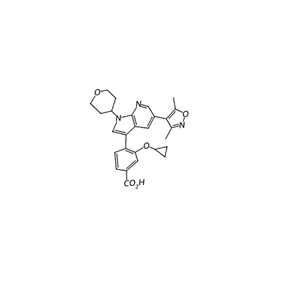 Cc1noc(C)c1-c1cnc2c(c1)c(-c1ccc(C(=O)O)cc1OC1CC1)cn2C1CCOCC1